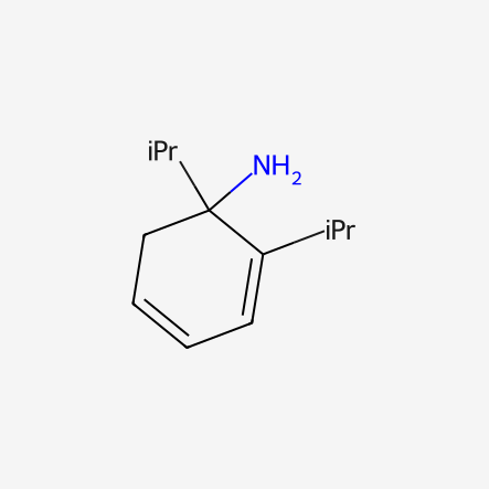 CC(C)C1=CC=CCC1(N)C(C)C